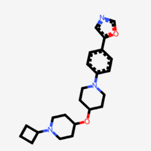 c1ncc(-c2ccc(N3CCC(OC4CCN(C5CCC5)CC4)CC3)cc2)o1